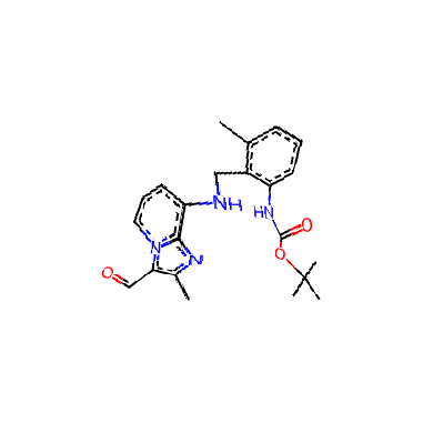 Cc1cccc(NC(=O)OC(C)(C)C)c1CNc1cccn2c(C=O)c(C)nc12